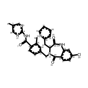 Cc1cnc(NC(=O)c2ccc(CN3C(=O)c4ccc(Cl)cc4NC(=O)C3Cc3ccccn3)cc2C)nc1